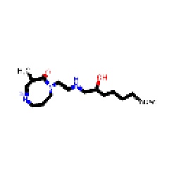 CCCCCCCCCCCCCCC(O)CNCCN1CCC/N=C\C(C)C1=O